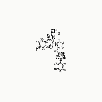 Cc1nc(C(=O)N2CCCC2Cc2nnc(-c3ccccc3)o2)c(-c2ccc(F)cc2)s1